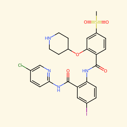 CS(=O)(=O)c1ccc(C(=O)Nc2ccc(I)cc2C(=O)Nc2ccc(Cl)cn2)c(OC2CCNCC2)c1